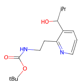 CC(C)C(O)c1cccnc1CCNC(=O)OC(C)(C)C